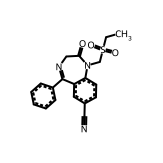 CCS(=O)(=O)CN1C(=O)CN=C(c2ccccc2)c2cc(C#N)ccc21